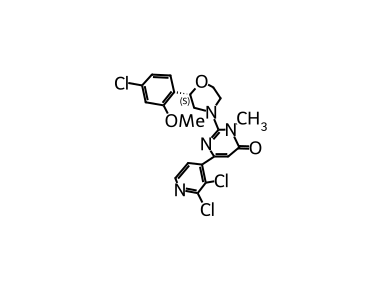 COc1cc(Cl)ccc1[C@H]1CN(c2nc(-c3ccnc(Cl)c3Cl)cc(=O)n2C)CCO1